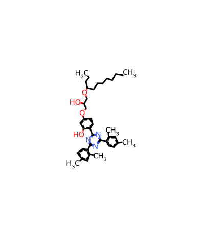 CCCCCCCCC(CCC)OCC(O)COc1ccc(-c2nc(-c3ccc(C)cc3C)nc(-c3ccc(C)cc3C)n2)c(O)c1